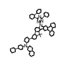 CC1(C)c2ccc(-c3cccc(N(c4ccc(-c5ccccc5)cc4)c4ccc5ccccc5c4)c3)cc2-c2ccc3c(c21)c1cc2c4ccccc4c4ccccc4c2cc1n3-c1nc(-c2ccccc2)nc(-c2ccccc2-c2ccccc2)n1